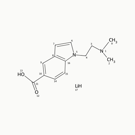 CN(C)CCn1ccc2cc(C(=O)O)ccc21.[LiH]